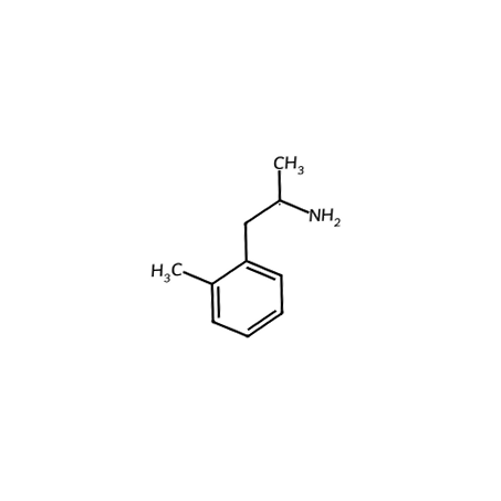 C[C](N)Cc1ccccc1C